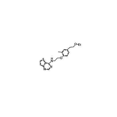 CCOCCc1ccc(OCCNc2ncnc3ccsc23)c(C)c1